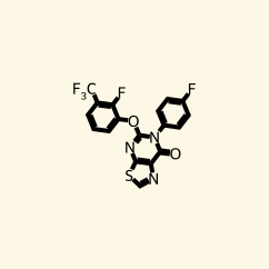 O=c1c2ncsc2nc(Oc2cccc(C(F)(F)F)c2F)n1-c1ccc(F)cc1